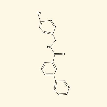 N#Cc1ccc(CNC(=O)c2cccc(-c3cccnc3)c2)cc1